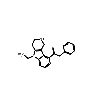 O=C(O)Cn1c2c(c3c(C(=O)Cc4ccccc4)cccc31)CNCC2